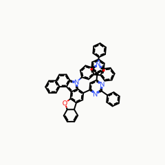 C1=CC2Oc3c(cc(-c4cc(-c5ccccc5)nc(-c5ccccc5)n4)c4c3c3c5ccccc5ccc3n4-c3ccc4c(c3)c3ccccc3n4-c3ccccc3)C2C=C1